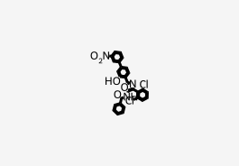 O=C(Nc1oc(-c2ccc(-c3cccc([N+](=O)[O-])c3)cc2O)nc1-c1c(Cl)cccc1Cl)c1ccccc1